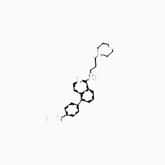 Nc1ccc(-c2cccc3c(NCCCN4CCOCC4)nccc23)cc1